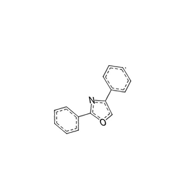 [c]1ccc(-c2coc(-c3ccccc3)n2)cc1